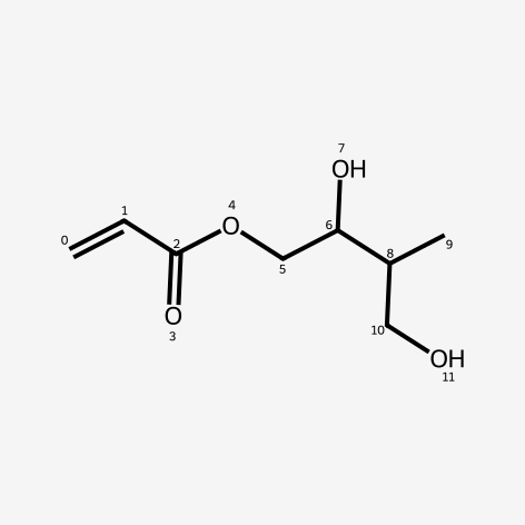 C=CC(=O)OCC(O)C(C)CO